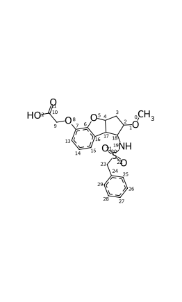 COC1CC2Oc3c(OCC(=O)O)cccc3C2C1NS(=O)(=O)Cc1ccccc1